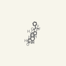 C[C@]12CCC(=O)N[C@H]1CC[C@@H]1[C@@H]2CC[C@]2(C)[C@@H](C(=O)[C@@H](c3ccccc3)C(F)(F)F)CC[C@@H]12